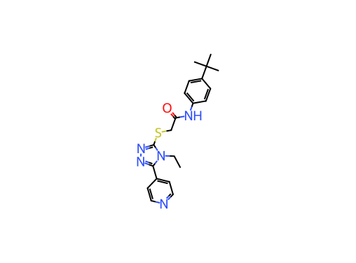 CCn1c(SCC(=O)Nc2ccc(C(C)(C)C)cc2)nnc1-c1ccncc1